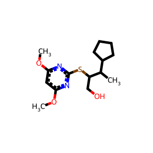 COc1cc(OC)nc(SC(CO)C(C)C2CCCC2)n1